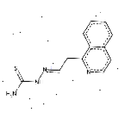 NC(=S)N/N=C/Cc1nccc2ccccc12